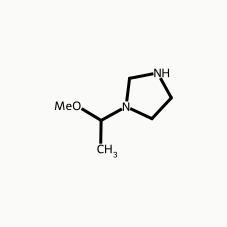 COC(C)N1CCNC1